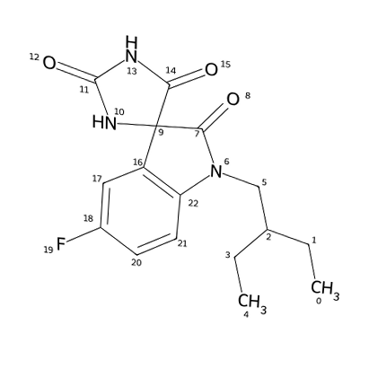 CCC(CC)CN1C(=O)C2(NC(=O)NC2=O)c2cc(F)ccc21